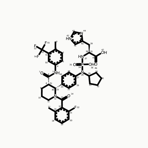 Cc1ccc(NC(=O)[C@H]2CCCN(C(=O)c3c(C)cccc3F)[C@H]2c2ccc(N(C3CCCC3)P(=O)(O)N[C@@H](Cc3c[nH]cn3)C(=O)O)cc2)cc1C(F)(F)F